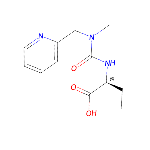 CC[C@H](NC(=O)N(C)Cc1ccccn1)C(=O)O